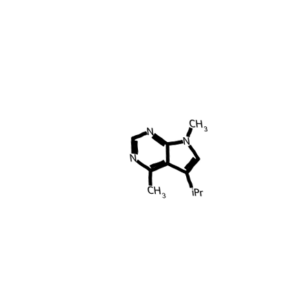 Cc1ncnc2c1c(C(C)C)cn2C